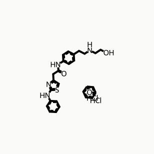 Cl.Cl.O=C(Cc1csc(Nc2ccccc2)n1)Nc1ccc(CCNCCO)cc1.c1cc2cc(c1)O2